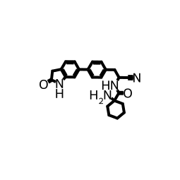 N#CC(Cc1ccc(-c2ccc3c(c2)NC(=O)C3)cc1)NC(=O)C1(N)CCCCC1